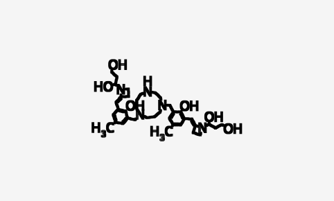 Cc1cc(C=C2CCN2C(O)CCO)c(O)c(CN2CCCNCCN(Cc3cc(C)cc(C=C4CCN4C(O)CCO)c3O)CCC2)c1